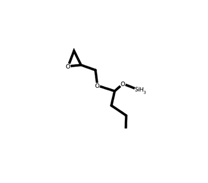 CCCC(O[SiH3])OCC1CO1